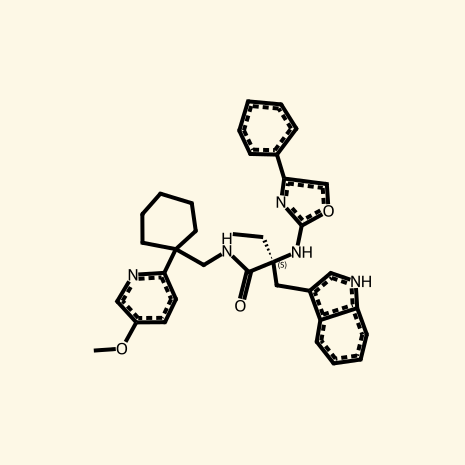 CC[C@@](Cc1c[nH]c2ccccc12)(Nc1nc(-c2ccccc2)co1)C(=O)NCC1(c2ccc(OC)cn2)CCCCC1